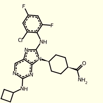 NC(=O)[C@H]1CC[C@@H](n2c(Nc3c(F)cc(F)cc3Cl)nc3cnc(NC4CCC4)nc32)CC1